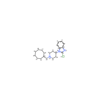 Clc1nc2ccccc2n1C1CCN(CC2CCCCCCC2)CC1